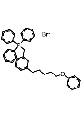 [Br-].c1ccc(OCCCCCc2cccc(C[P+](c3ccccc3)(c3ccccc3)c3ccccc3)c2)cc1